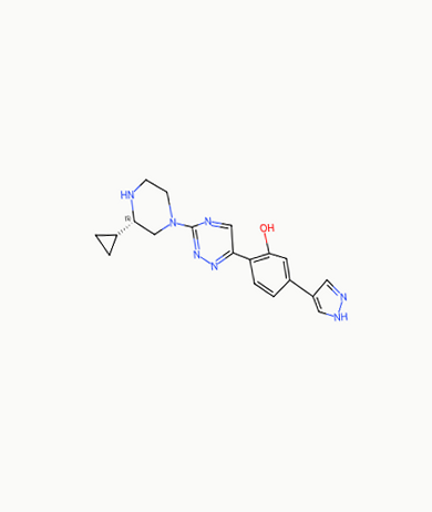 Oc1cc(-c2cn[nH]c2)ccc1-c1cnc(N2CCN[C@@H](C3CC3)C2)nn1